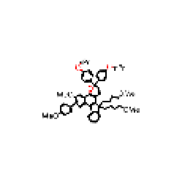 CCCOc1ccc(C2(c3ccc(OCCC)cc3)C=Cc3c4c(c5cc(-c6ccc(OC)cc6)c(OC)cc5c3O2)-c2ccccc2C4(CCCCOC)CCCCOC)cc1